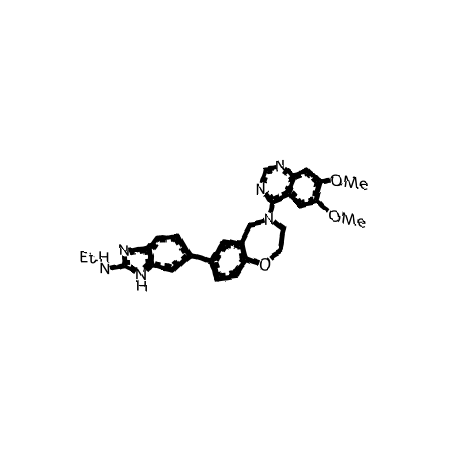 CCNc1nc2ccc(-c3ccc4c(c3)CN(c3ncnc5cc(OC)c(OC)cc35)CCO4)cc2[nH]1